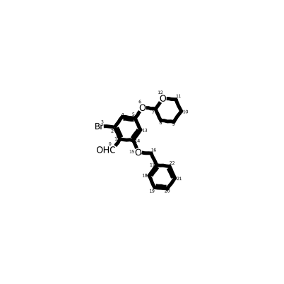 O=Cc1c(Br)cc(OC2CCCCO2)cc1OCc1ccccc1